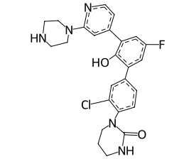 O=C1NCCCN1c1ccc(-c2cc(F)cc(-c3ccnc(N4CCNCC4)c3)c2O)cc1Cl